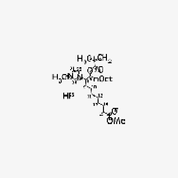 C=C(C)C(=O)OC(CCCCCCCC)C(CCCCCCCC(=O)OC)N1C=CN(C)C1.I